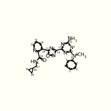 CN(c1ccccc1)c1nc(N)nc(-c2noc(-c3cccnc3C(=O)NCC3CC3)n2)n1